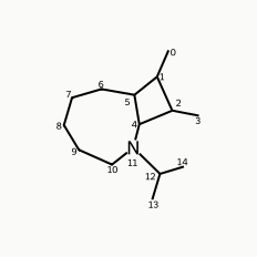 CC1C(C)C2C1CCCCCN2C(C)C